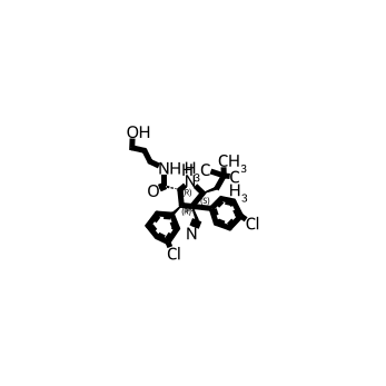 CC(C)(C)C[C@@H]1N[C@@H](C(=O)NCCCO)[C@H](c2cccc(Cl)c2)[C@@]1(C#N)c1ccc(Cl)cc1